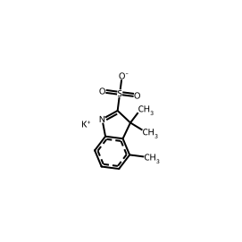 Cc1cccc2c1C(C)(C)C(S(=O)(=O)[O-])=N2.[K+]